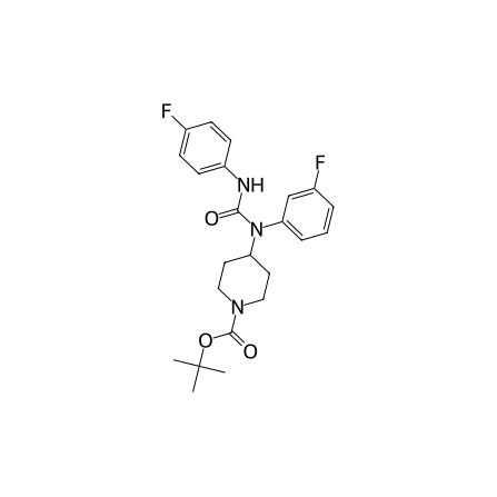 CC(C)(C)OC(=O)N1CCC(N(C(=O)Nc2ccc(F)cc2)c2cccc(F)c2)CC1